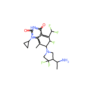 CC1=c2c(c(=O)[nH]c(=O)n2C2CC2)=C(C(F)F)C(F)C1N1CC(C(C)N)C(F)(F)C1